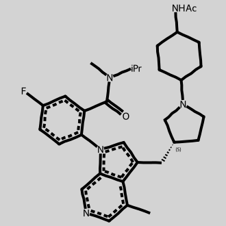 CC(=O)NC1CCC(N2CC[C@H](Cc3cn(-c4ccc(F)cc4C(=O)N(C)C(C)C)c4cncc(C)c34)C2)CC1